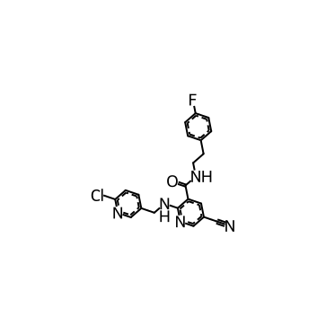 N#Cc1cnc(NCc2ccc(Cl)nc2)c(C(=O)NCCc2ccc(F)cc2)c1